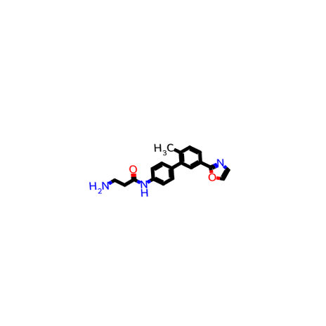 Cc1ccc(-c2ncco2)cc1-c1ccc(NC(=O)CCN)cc1